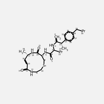 C=C(NC(C(=O)N[C@H]1CSCCNC(=O)/C=C/[C@H](C)NC1=O)C(C)C)[C@@H](C)c1ccc(CC(C)C)cc1